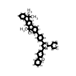 CC1(C)c2ccccc2-c2cc3c(cc21)-c1ccc(-c2ccc(-c4cc(-c5ccc6c(c5)oc5ccccc56)nc(-c5ccccc5)n4)cc2)cc1C3(C)C